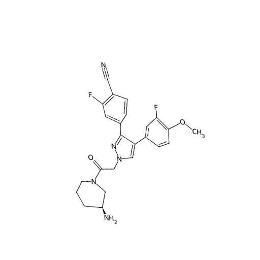 COc1ccc(-c2cn(CC(=O)N3CCC[C@H](N)C3)nc2-c2ccc(C#N)c(F)c2)cc1F